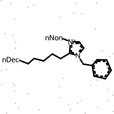 CCCCCCCCCCCCCCCc1n(Cc2ccccc2)cc[n+]1CCCCCCCCC